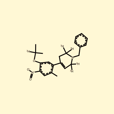 [2H]C(C)(C)Oc1cc(C2=CC([2H])([2H])N(Cc3ccccc3)C([2H])([2H])C2)c(C)cc1[N+](=O)[O-]